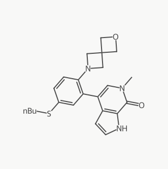 CCCCSc1ccc(N2CC3(COC3)C2)c(-c2cn(C)c(=O)c3[nH]ccc23)c1